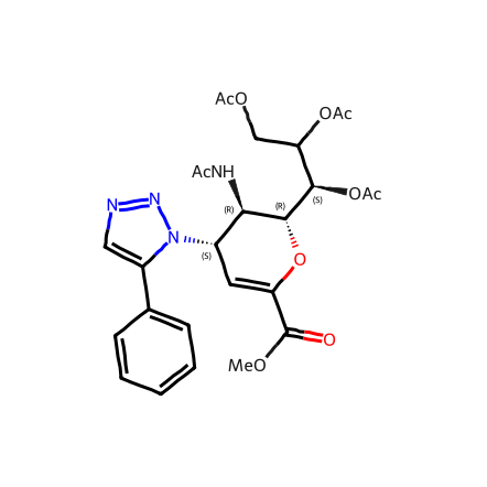 COC(=O)C1=C[C@H](n2nncc2-c2ccccc2)[C@@H](NC(C)=O)[C@H]([C@H](OC(C)=O)C(COC(C)=O)OC(C)=O)O1